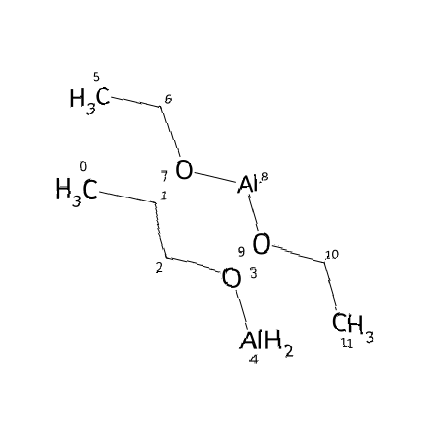 CCC[O][AlH2].CC[O][Al][O]CC